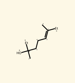 CCC(C)=CCCC(C)(O)CC